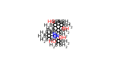 Bc1c(B)c(B)c(-c2nc(-c3c(O)c(B)c(B)c(B)c3O)nc(-c3c(B)c(B)c4c(c3B)c3c(B)c(B)c(O)c(B)c3c3c(B)c(B)c(B)c(O)c34)n2)c(B)c1B